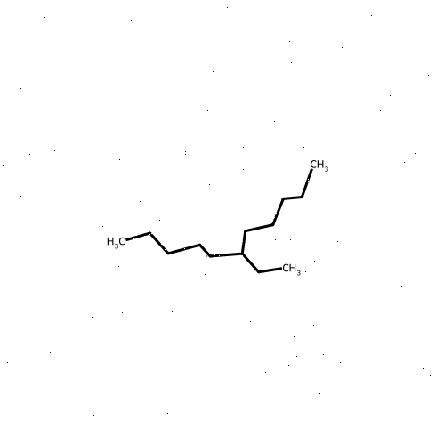 CCCC[CH]C(CC)CCCCC